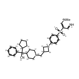 CN/C=C(\C=N)S(=O)(=O)c1ccc(N2CC(CN3CCC(C(C#N)(c4ccccc4)C4CCCC4)CC3)C2)cc1